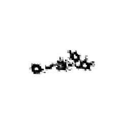 Cc1cccc(N(Cc2ccc(F)c(F)c2)C(=O)O[C@H]2C[N+]3(CCCSc4ccccc4)CCC2CC3)c1